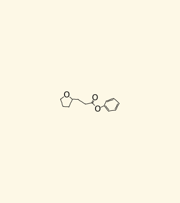 O=C(CCC1CCCO1)Oc1ccccc1